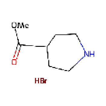 Br.COC(=O)C1CCNCC1